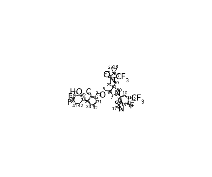 O=C(O)c1c(COC[C@@H]2CN(c3cc(C(F)(F)F)c(F)c4ncsc34)CC23CN(C(=O)C2(C(F)(F)F)CC2)C3)cccc1C1CCC(F)(F)CC1